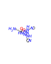 COC(=O)[C@H](CCCCN)Nc1nc(NCCN2CCCC2)nc(NCc2cccnc2)n1